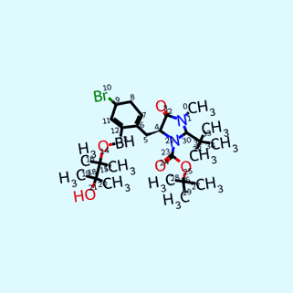 CN1C(=O)[C@H](CC2=CCC(Br)C=C2BOC(C)(C)C(C)(C)O)N(C(=O)OC(C)(C)C)C1C(C)(C)C